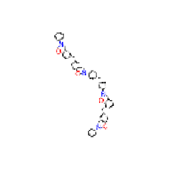 c1ccc(N2COc3ccc(Cc4ccc5c(c4)CN(c4ccc(Cc6ccc(N7COc8c(Cc9ccc%10c(c9)CN(c9ccccc9)CO%10)cccc8C7)cc6)cc4)CO5)cc3C2)cc1